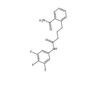 NC(=O)c1ccccc1CC[CH]C(=O)Nc1cc(F)c(F)c(F)c1